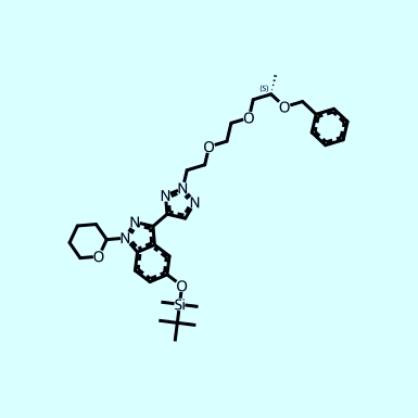 C[C@@H](COCCOCCn1ncc(-c2nn(C3CCCCO3)c3ccc(O[Si](C)(C)C(C)(C)C)cc23)n1)OCc1ccccc1